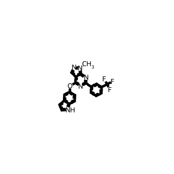 Cn1ncc2c(Oc3ccc4[nH]ccc4c3)nc(-c3cccc(C(F)(F)F)c3)nc21